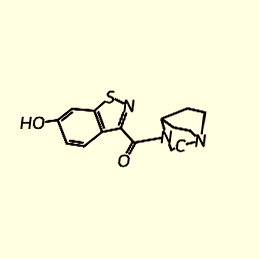 O=C(c1nsc2cc(O)ccc12)N1CCN2CCC1CC2